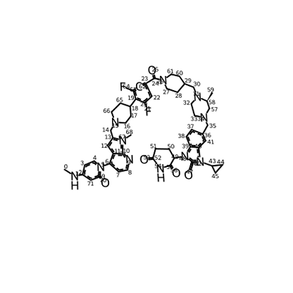 CNc1ccn(-c2ccnc3c2cc(CN2CCC(c4c(F)cc(C(=O)N5CCC(CN6CCN(Cc7ccc8c(c7)n(C7CC7)c(=O)n8C7CCC(=O)NC7=O)C[C@@H]6C)CC5)cc4F)CC2)n3C)c(=O)c1